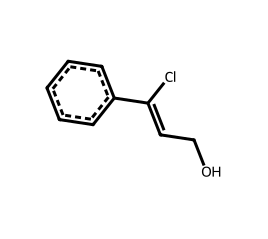 OCC=C(Cl)c1ccccc1